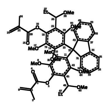 C=C(C)C(=O)Oc1c(OC)c(OC)c(C2(c3c(OC)c(OC)c(OC(=O)C(=C)C)c(C(CC)OC)c3OC)c3ccccc3-c3ccccc32)c(OC)c1C(CC)OC